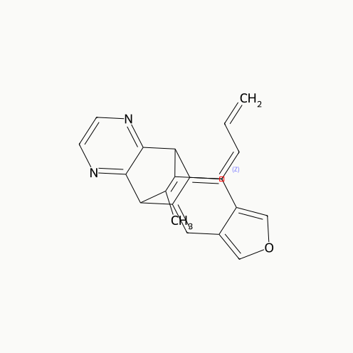 C=C/C=C\C1=C(C)C2c3cc4cocc4cc3C1c1nccnc12